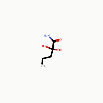 CCCC(O)(O)C(N)=O